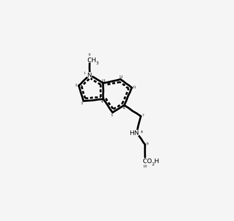 Cn1ccc2cc(CNCC(=O)O)ccc21